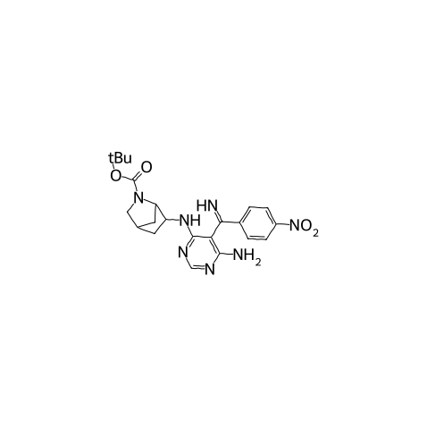 CC(C)(C)OC(=O)N1CC2CC(Nc3ncnc(N)c3C(=N)c3ccc([N+](=O)[O-])cc3)C1C2